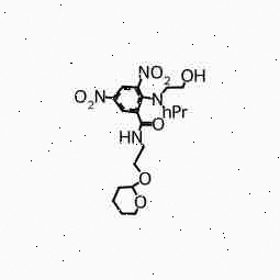 CCCN(CCO)c1c(C(=O)NCCOC2CCCCO2)cc([N+](=O)[O-])cc1[N+](=O)[O-]